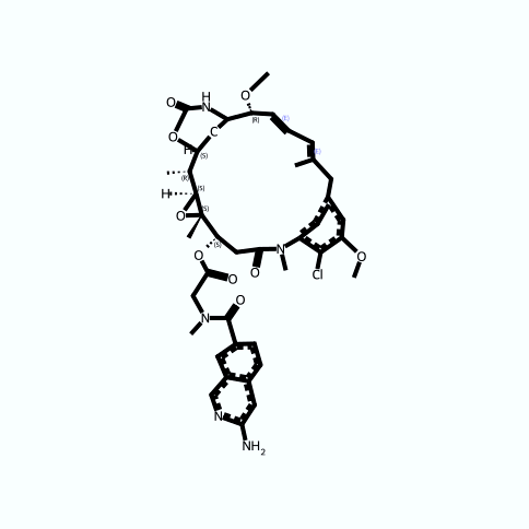 COc1cc2cc(c1Cl)N(C)C(=O)C[C@H](OC(=O)CN(C)C(=O)c1ccc3cc(N)ncc3c1)[C@]1(C)O[C@H]1[C@H](C)[C@@H]1CC(NC(=O)O1)[C@H](OC)/C=C/C=C(\C)C2